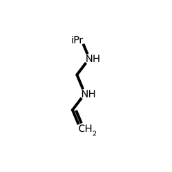 C=CNCNC(C)C